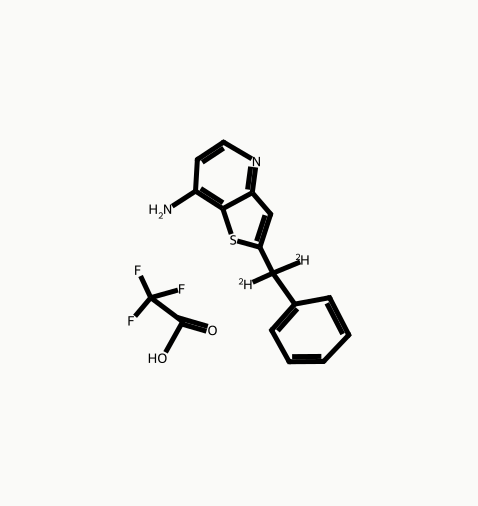 O=C(O)C(F)(F)F.[2H]C([2H])(c1ccccc1)c1cc2nccc(N)c2s1